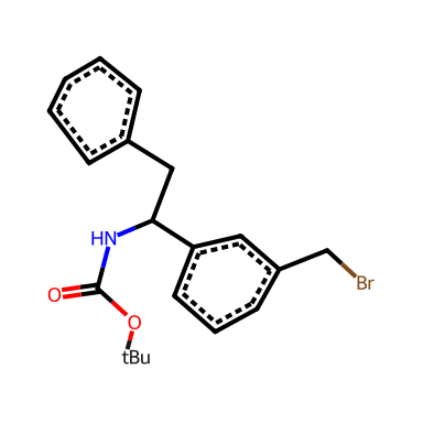 CC(C)(C)OC(=O)NC(Cc1ccccc1)c1cccc(CBr)c1